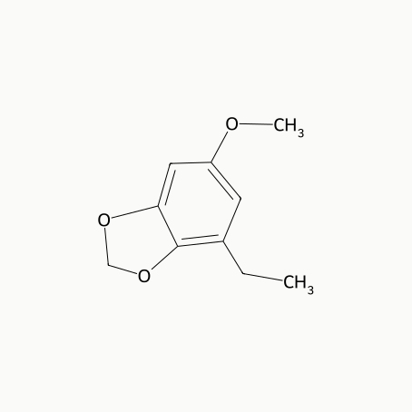 CCc1cc(OC)cc2c1OCO2